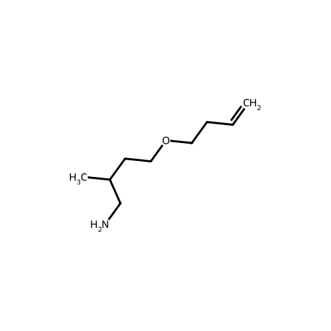 C=CCCOCCC(C)CN